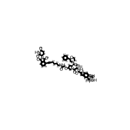 CC(C)(C)[C@H](NC(=O)c1cc2cc(C(F)(F)P(=O)(O)O)ccc2s1)C(=O)N1C[C@@H](OCC(=O)NCCCCC#Cc2cccc3c2C(=O)N(C2CCC(=O)NC2=O)C3=O)C[C@H]1C(=O)N1CCOC(c2ccccc2)C1